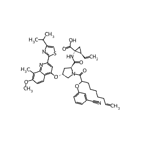 C=CCCCCCC(Oc1cccc(C#N)c1)C(=O)N1C[C@H](Oc2cc(-c3nc(C(C)C)cs3)nc3c(C)c(OC)ccc23)C[C@H]1C(=O)N[C@]1(C(=O)O)C[C@H]1C=C